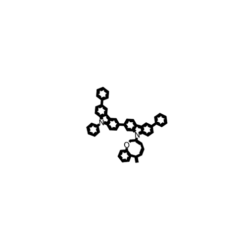 C=C1/C=C\C=C(\n2c3ccc(-c4ccccc4)cc3c3ccc(-c4ccc5c(c4)c4cc(-c6ccccc6)ccc4n5-c4ccccc4)cc32)COc2ccccc21